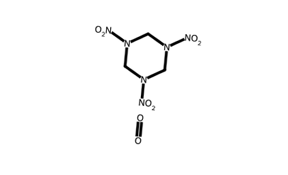 O=O.O=[N+]([O-])N1CN([N+](=O)[O-])CN([N+](=O)[O-])C1